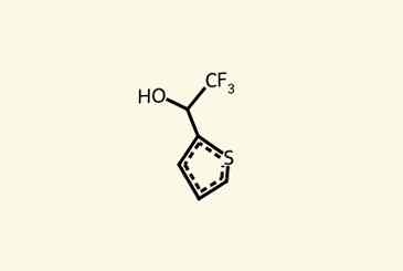 OC(c1cccs1)C(F)(F)F